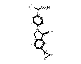 CC(C(=O)O)c1ccc(N2Cc3ccc(C4CC4)cc3C2=O)cc1